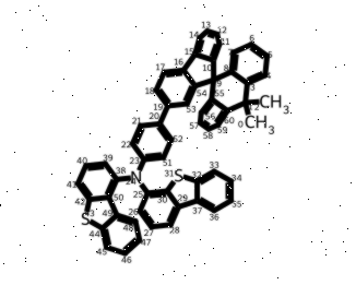 CC1(C)c2ccccc2C2(c3ccccc3-c3ccc(-c4ccc(N(c5cccc6c5sc5ccccc56)c5cccc6sc7ccccc7c56)cc4)cc32)c2ccccc21